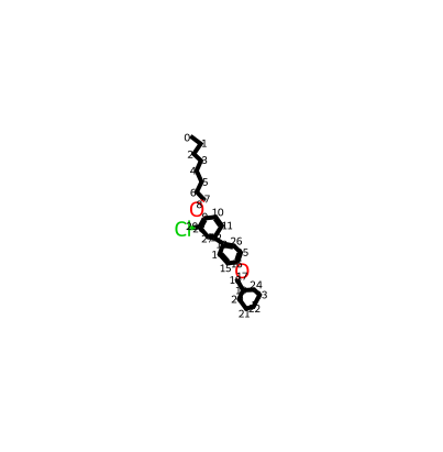 CCCCCCCCOc1ccc(-c2ccc(OCC3CC[CH]CC3)cc2)cc1Cl